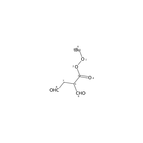 CC(C)(C)OOC(=O)C([C]=O)C[C]=O